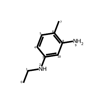 CCNc1ccc(C)c(N)c1